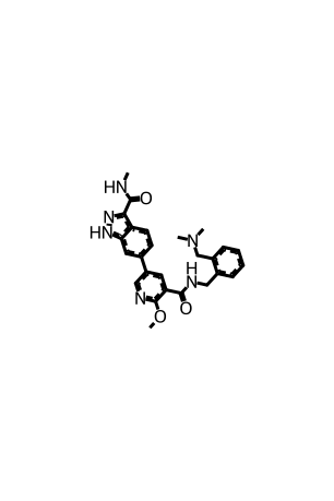 CNC(=O)c1n[nH]c2cc(-c3cnc(OC)c(C(=O)NCc4ccccc4CN(C)C)c3)ccc12